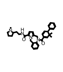 CN1CCCC1CCNC(=O)c1ccc2n1Cc1ccccc1N(C(=O)C1=CC(C)(C)C(c3ccccc3)C=C1)C2